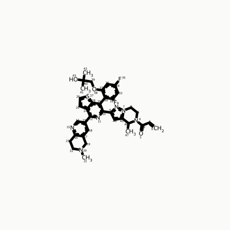 C=CC(=O)N1CCn2nc(-c3nc(-c4cnc5c(c4)CN(C)CC5)c4ccsc4c3-c3c(F)cc(F)cc3OCC(C)(C)O)cc2C1C